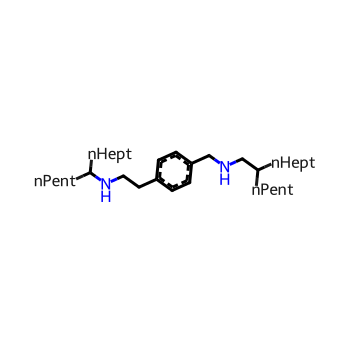 CCCCCCCC(CCCCC)CNCc1ccc(CCNC(CCCCC)CCCCCCC)cc1